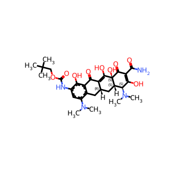 CN(C)c1cc(NC(=O)OCC(C)(C)C)c(O)c2c1C[C@H]1C[C@H]3[C@H](N(C)C)C(O)=C(C(N)=O)C(=O)[C@@]3(O)C(O)=C1C2=O